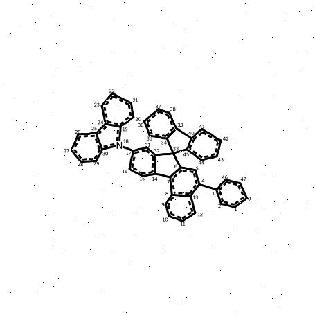 c1ccc(-c2cc3c(c4ccccc24)-c2ccc(-n4c5ccccc5c5ccccc54)cc2C32c3ccccc3-c3ccccc32)cc1